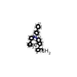 C=Cc1ccccc1-c1ccc2ccc(N(c3ccc(-c4ccccc4)cc3)c3cccc(-c4ccccc4)c3)cc2c1C